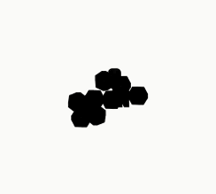 c1ccc(-c2nc3ccc(-c4ccc5c(c4)C(c4ccccc4)(c4ccccc4)c4ccccc4-5)cc3c3c2ccc2oc4ccccc4c23)cc1